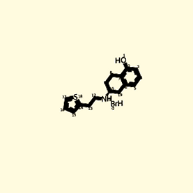 Br.Oc1cccc2c1CC[C@H](NCCc1cccs1)C2